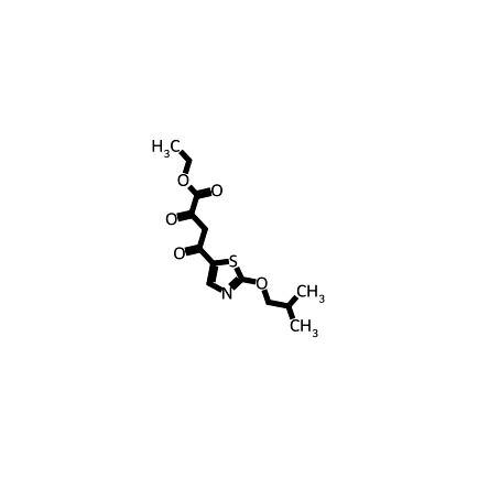 CCOC(=O)C(=O)CC(=O)c1cnc(OCC(C)C)s1